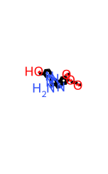 COCCOc1cc2ncc3c(N)nc(N4CCCC(CO)C4)nc3c2cc1OC